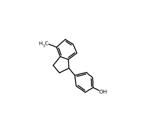 Cc1cccc2c1CCC2c1ccc(O)cc1